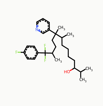 CC(C)C(O)CCCCC(C)C(C)(CCC(C)C(F)(F)c1ccc(F)cc1)c1cccnc1